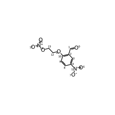 O=Cc1cc([N+](=O)[O-])ccc1OCCO[N+](=O)[O-]